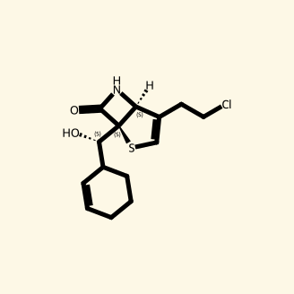 O=C1N[C@H]2C(CCCl)=CS[C@@]12[C@@H](O)C1C=CCCC1